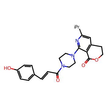 CC(C)c1cc2c(c(N3CCN(C(=O)C=Cc4ccc(O)cc4)CC3)n1)C(=O)OCC2